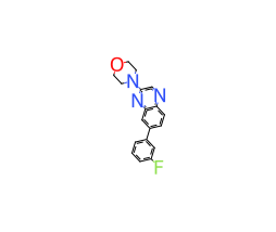 Fc1cccc(-c2ccc3ncc(N4CCOCC4)nc3c2)c1